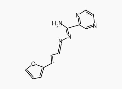 NC(=NN=CC=Cc1ccco1)c1cnccn1